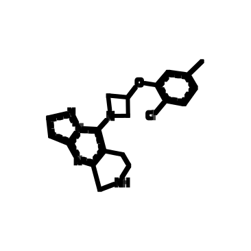 Cc1ccc(Cl)c(OC2CN(c3c4c(nc5ccnn35)CNCC4)C2)c1